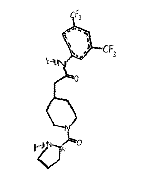 O=C(CC1CCN(C(=O)[C@H]2CCCN2)CC1)Nc1cc(C(F)(F)F)cc(C(F)(F)F)c1